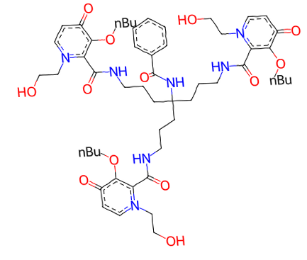 CCCCOc1c(C(=O)NCCCC(CCCNC(=O)c2c(OCCCC)c(=O)ccn2CCO)(CCCNC(=O)c2c(OCCCC)c(=O)ccn2CCO)NC(=O)c2ccccc2)n(CCO)ccc1=O